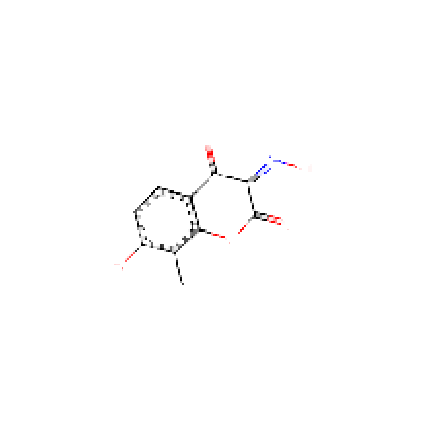 Cc1c(O)ccc2c1OC(=O)C(=NO)C2=O